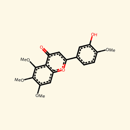 COc1ccc(-c2cc(=O)c3c(OC)c(OC)c(OC)cc3o2)cc1O